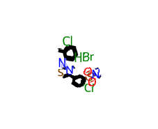 Br.Cc1c(Cl)cccc1/N=c1/scc(-c2ccc(Cl)c(S(=O)(=O)N(C)C)c2)n1C